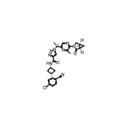 Cc1nc([C@H](C)n2cc(C(=O)N[C@H]3C[C@@H](c4cc(Cl)ccc4C#N)C3)nn2)cnc1N1C[C@H]2C[C@H]2C1=O